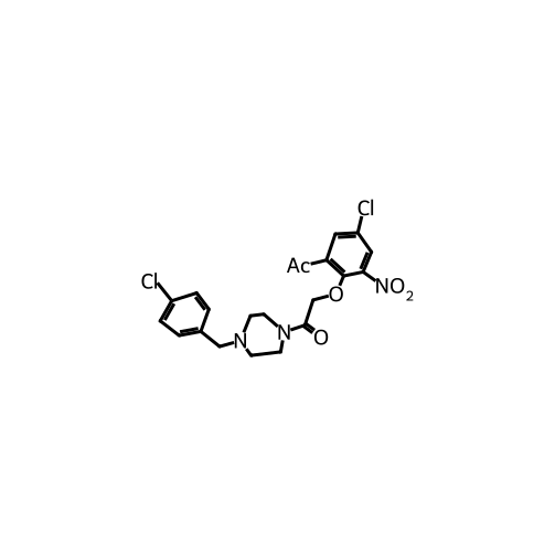 CC(=O)c1cc(Cl)cc([N+](=O)[O-])c1OCC(=O)N1CCN(Cc2ccc(Cl)cc2)CC1